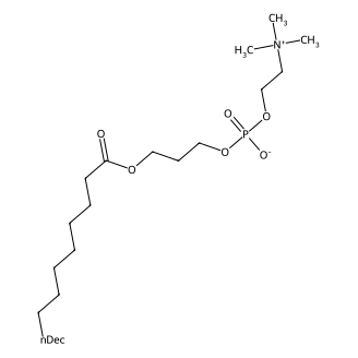 CCCCCCCCCCCCCCCCCC(=O)OCCCOP(=O)([O-])OCC[N+](C)(C)C